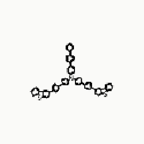 c1ccc(-c2ccc(-c3ccc(N(c4ccc(-c5ccc(-c6ccc7sc8ccccc8c7c6)cc5)cc4)c4ccc(-c5ccc(-c6ccc7sc8ccccc8c7c6)cc5)cc4)cc3)cc2)cc1